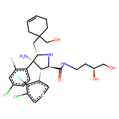 N[C@]1(c2ccc(Cl)cc2F)[C@H](CC2(CO)CC=CCC2)N[C@@H](C(=O)NCC[C@H](O)CO)[C@@H]1c1cccc(Cl)c1F